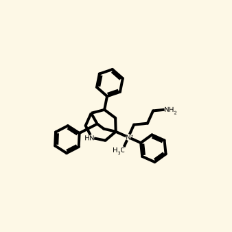 C[N+](CCCN)(c1ccccc1)C12CNCC(C(c3ccccc3)C1)C(c1ccccc1)C2